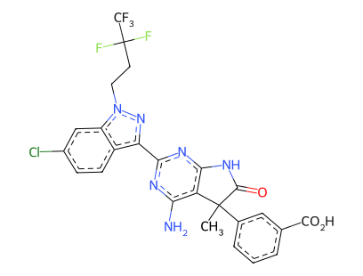 CC1(c2cccc(C(=O)O)c2)C(=O)Nc2nc(-c3nn(CCC(F)(F)C(F)(F)F)c4cc(Cl)ccc34)nc(N)c21